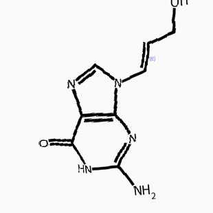 Nc1nc2c(ncn2/C=C/CO)c(=O)[nH]1